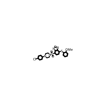 COc1ccccc1Sc1ccc(S(=O)(=O)N2CCN(c3ccc(Cl)cc3)CC2)c2nonc12